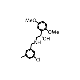 COc1ccc(OC)c([C@H](O)CNCc2cc(C)cc(Cl)c2)c1